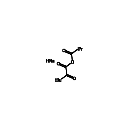 CC(C)C(=O)OC(=O)C(=O)C(C)(C)C.[NaH]